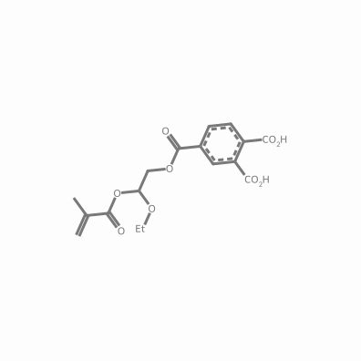 C=C(C)C(=O)OC(COC(=O)c1ccc(C(=O)O)c(C(=O)O)c1)OCC